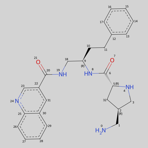 NC[C@@H]1CN[C@@H](C(=O)N[C@H](CCc2ccccc2)CNC(=O)c2cnc3ccccc3c2)C1